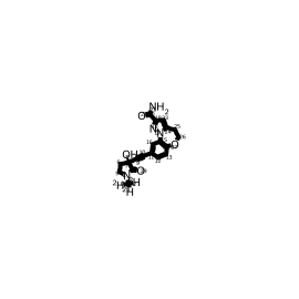 [2H]C([2H])([2H])N1CC[C@](O)(C#Cc2ccc3c(c2)-n2nc(C(N)=O)cc2CCO3)C1=O